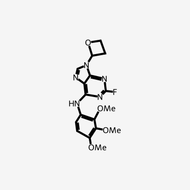 COc1ccc(Nc2nc(F)nc3c2ncn3C2CCO2)c(OC)c1OC